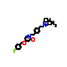 CCN(CC)CCc1ccc(CCn2ccc(OCc3ccc(F)cc3)cc2=O)cc1